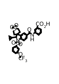 O=C(O)c1cccc(NC(=O)c2ccc3c(c2)C2(CCS(=O)(=O)CC2)C(C2CC2)N3S(=O)(=O)c2cccc(OC(F)(F)F)c2)c1